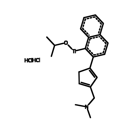 CC(C)[O][Ti][c]1c(C2=CC(CN(C)C)=CC2)ccc2ccccc12.Cl.Cl